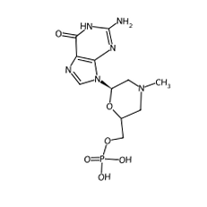 CN1CC(COP(=O)(O)O)O[C@@H](n2cnc3c(=O)[nH]c(N)nc32)C1